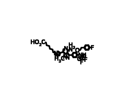 Cn1nc(-c2ccc(NS(=O)(=O)C(F)F)c(OCCc3ccc(F)cc3)c2)c2c(N)ncc(-c3cnn(CCCCCCC(=O)O)c3)c21